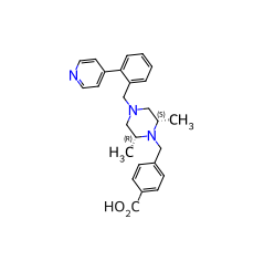 C[C@@H]1CN(Cc2ccccc2-c2ccncc2)C[C@H](C)N1Cc1ccc(C(=O)O)cc1